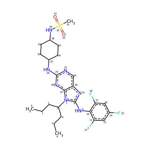 CCCC(CCC)n1c(Nc2c(F)cc(F)cc2F)nc2cnc(NC3CCC(NS(C)(=O)=O)CC3)nc21